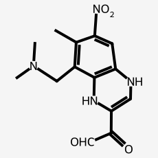 Cc1c([N+](=O)[O-])cc2c(c1CN(C)C)NC(C(=O)C=O)=CN2